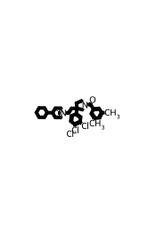 Cc1cc(C)cc(C(=O)N2CCC(CC[N+]34CCC(C5CCCCC5)(CC3)CC4)(c3ccc(Cl)c(Cl)c3)C2)c1.[Cl-]